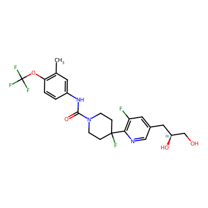 Cc1cc(NC(=O)N2CCC(F)(c3ncc(C[C@H](O)CO)cc3F)CC2)ccc1OC(F)(F)F